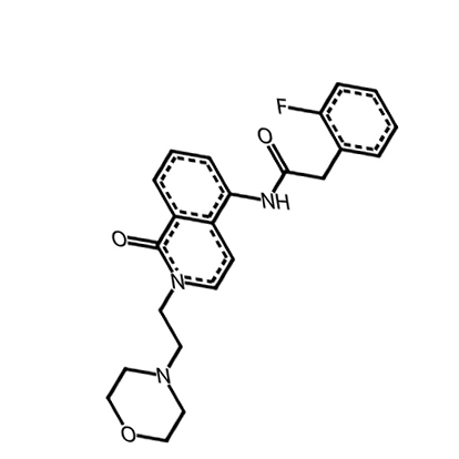 O=C(Cc1ccccc1F)Nc1cccc2c(=O)n(CCN3CCOCC3)ccc12